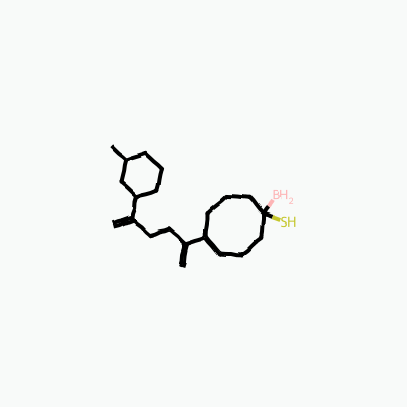 BC1(S)CCCC(C(=C)CCC(=C)C2CCCC(C)C2)CCC1